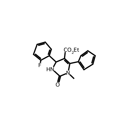 CCOC(=O)C1=C(c2ccccc2)N(C)C(=O)NC1c1ccccc1F